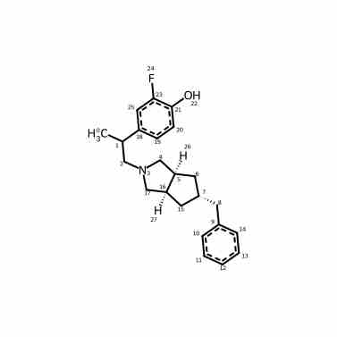 CC(CN1C[C@H]2C[C@H](Cc3ccccc3)C[C@H]2C1)c1ccc(O)c(F)c1